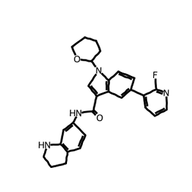 O=C(Nc1ccc2c(c1)NCCC2)c1cn(C2CCCCO2)c2ccc(-c3cccnc3F)cc12